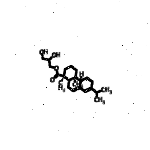 CC(C)C1=CC2=CCC3[C@](C)(CCC[C@]3(C)C(=O)OCC(O)CO)[C@@H]2CC1